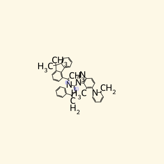 C=C(/C=C(\N=C(/C)c1cccc2c1-c1ccccc1C2(C)C)n1cnc2ccc(N3C=CC=CC3=C)c(C)c21)c1ccccc1